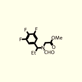 CCC(c1cc(F)c(F)c(F)c1)N(C=O)CC(=O)OC